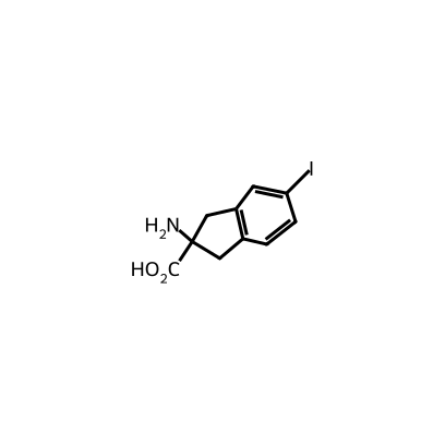 NC1(C(=O)O)Cc2ccc(I)cc2C1